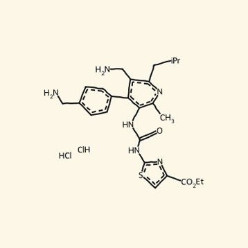 CCOC(=O)c1csc(NC(=O)Nc2c(C)nc(CC(C)C)c(CN)c2-c2ccc(CN)cc2)n1.Cl.Cl